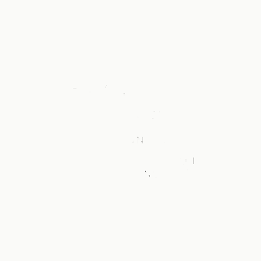 N#CC(O)c1csc(-c2ccc(F)cc2)n1